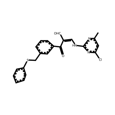 Cc1cc(Cl)nc(NC=C(C=O)C(=O)c2cccc(CSc3ccccc3)c2)n1